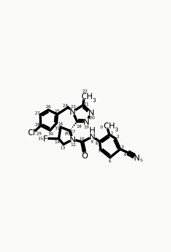 Cc1cc(C#N)ccc1NC(=O)N1CC(F)C[C@@H]1c1nnc(C)n1Cc1ccc(Cl)cc1